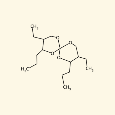 CCCC1OC2(OCC1CC)OCC(CC)C(CCC)O2